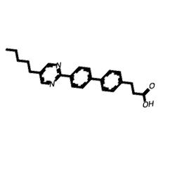 CCCCCc1cnc(-c2ccc(-c3ccc(CCC(=O)O)cc3)cc2)nc1